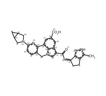 Cc1[nH]nc2c1CC/C2=N/C(=O)c1cn2c3c(cc(C(=O)O)cc13)-c1nc(N3CC4CC4C3)ccc1C2